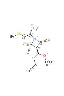 CC(C)S[C@@H]1S[C@@H]2[C@H](C(CCC(Cl)(Cl)Cl)OC(=O)O)C(=O)N2[C@@H]1C(=O)O